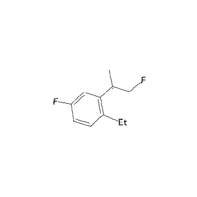 CCc1ccc(F)cc1[C](C)CF